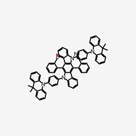 CC1(C)c2ccccc2N(c2ccc(-n3c4ccccc4c4c(-c5ccccc5C#N)c5c(c(-c6ccccc6C#N)c43)c3ccccc3n5-c3ccc(N4c5ccccc5C(C)(C)c5ccccc54)cc3)cc2)c2ccccc21